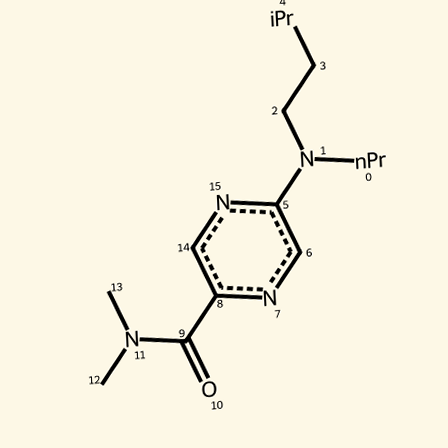 CCCN(CCC(C)C)c1cnc(C(=O)N(C)C)cn1